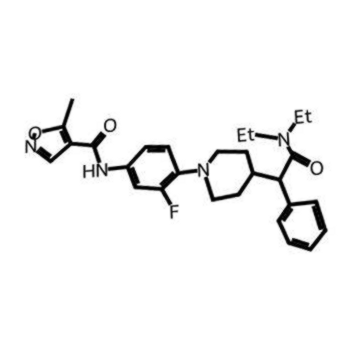 CCN(CC)C(=O)C(c1ccccc1)C1CCN(c2ccc(NC(=O)c3cnoc3C)cc2F)CC1